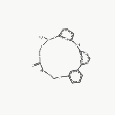 CN1CCCC(=O)NCCCc2cccc(c2)-c2ncnc(n2)Nc2cccc(c2)C1